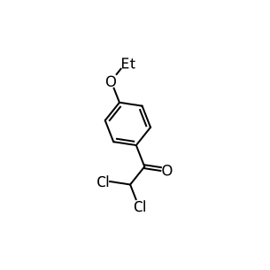 CCOc1ccc(C(=O)C(Cl)Cl)cc1